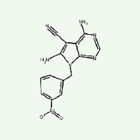 N#Cc1c(N)n(Cc2cccc([N+](=O)[O-])c2)c2ncnc(N)c12